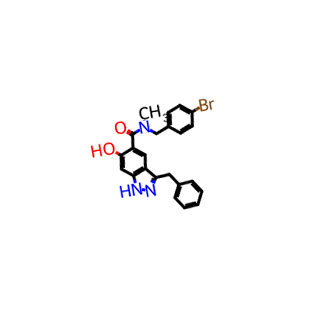 CN(Cc1ccc(Br)cc1)C(=O)c1cc2c(Cc3ccccc3)n[nH]c2cc1O